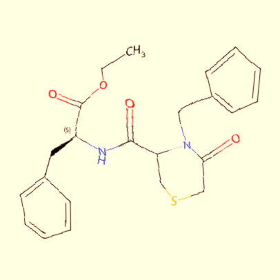 CCOC(=O)[C@H](Cc1ccccc1)NC(=O)C1CSCC(=O)N1Cc1ccccc1